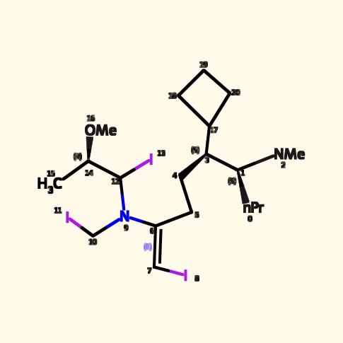 CCC[C@H](NC)[C@@H](CC/C(=C\I)N(CI)C(I)[C@@H](C)OC)C1CCC1